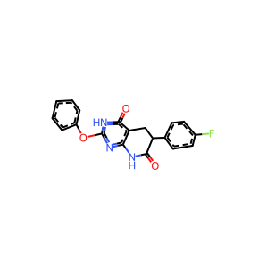 O=C1Nc2nc(Oc3ccccc3)[nH]c(=O)c2CC1c1ccc(F)cc1